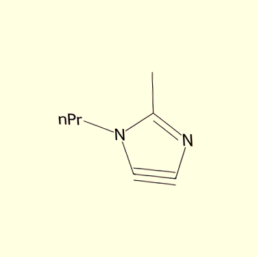 CCCn1c#cnc1C